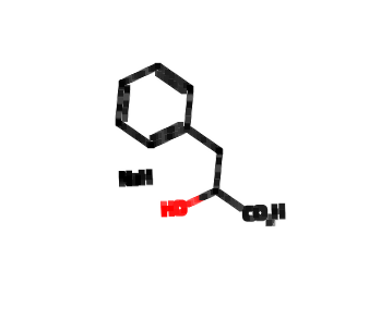 O=C(O)C(O)Cc1ccccc1.[NaH]